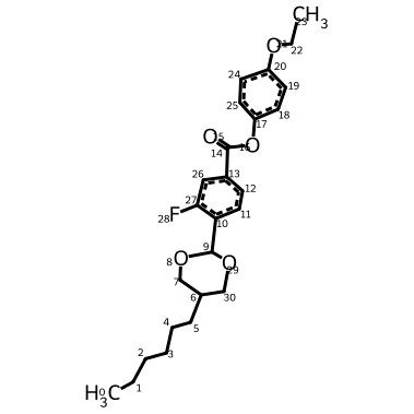 CCCCCCC1COC(c2ccc(C(=O)Oc3ccc(OCC)cc3)cc2F)OC1